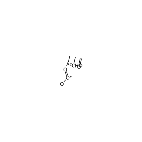 C=O.CC(C)=O.CC=O.O=[O+][O-]